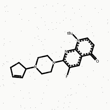 CC(C)(C)n1ccc(=O)c2cc(F)c(N3CCN(C4C=CCC4)CC3)nc21